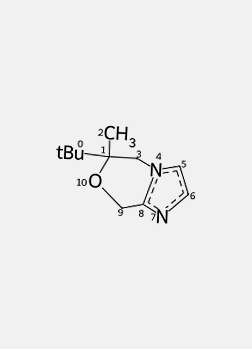 CC(C)(C)C1(C)Cn2ccnc2CO1